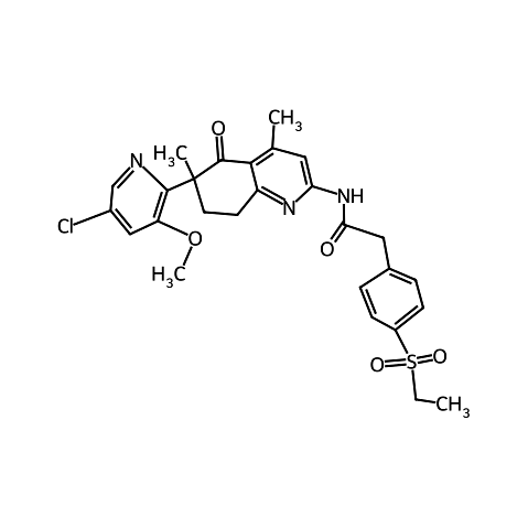 CCS(=O)(=O)c1ccc(CC(=O)Nc2cc(C)c3c(n2)CCC(C)(c2ncc(Cl)cc2OC)C3=O)cc1